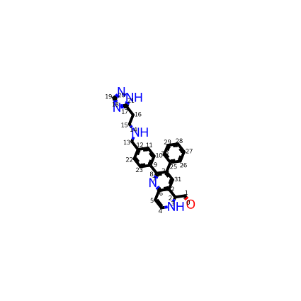 O=CC1NC=Cc2nc(-c3ccc(CNCCc4ncn[nH]4)cc3)c(-c3ccccc3)cc21